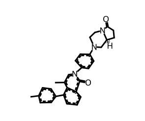 Cc1ccc(-c2cccc3c(=O)n(-c4ccc(N5CCN6C(=O)CC[C@H]6C5)cc4)cc(C)c23)cc1